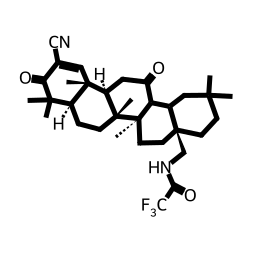 CC1(C)CC[C@]2(CNC(=O)C(F)(F)F)CC[C@]3(C)C(C(=O)C[C@@H]4[C@@]5(C)C=C(C#N)C(=O)C(C)(C)[C@@H]5CC[C@]43C)C2C1